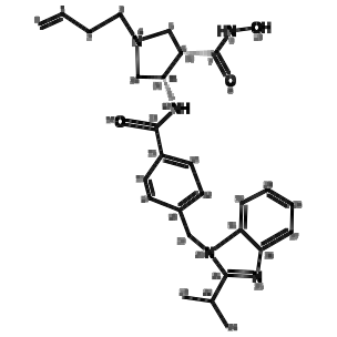 C=CCCN1C[C@H](C(=O)NO)[C@H](NC(=O)c2ccc(Cn3c(C(C)C)nc4ccccc43)cc2)C1